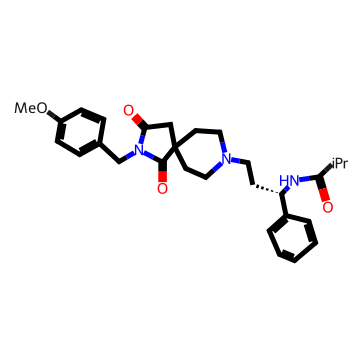 COc1ccc(CN2C(=O)CC3(CCN(CC[C@H](NC(=O)C(C)C)c4ccccc4)CC3)C2=O)cc1